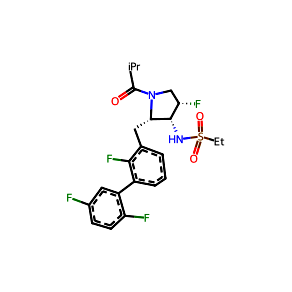 CCS(=O)(=O)N[C@H]1[C@@H](F)CN(C(=O)C(C)C)[C@H]1Cc1cccc(-c2cc(F)ccc2F)c1F